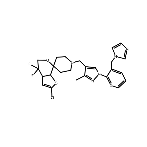 Cc1nn(-c2ncccc2Cn2ccnc2)cc1CN1CCC2(CC1)OCC(F)(F)C1C=C(Cl)SC12